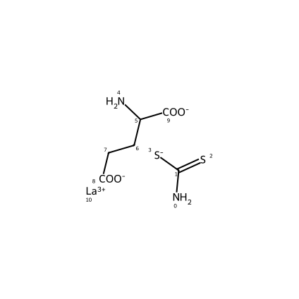 NC(=S)[S-].NC(CCC(=O)[O-])C(=O)[O-].[La+3]